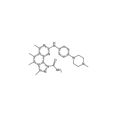 Cc1nc(Nc2ccc(N3CCN(C)CC3)cc2)nc2c1c(C)c(C)c1c(C)nn(C(N)=O)c12